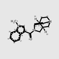 Cn1cc(C(=O)N2C[C@H]3CN4C=C2[C@@H]3CC4)c2ccccc21